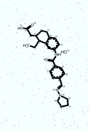 CCC1c2cc(NC(=O)c3ccc(C=NN4CCCC4)cc3)ccc2CCC1CC(=O)O.Cl